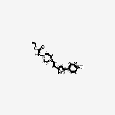 CCOC(=O)NN1CCN(CCc2cc(-c3ccc(Cl)cc3)on2)CC1